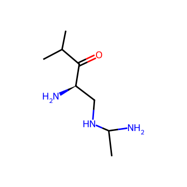 CC(N)NC[C@@H](N)C(=O)C(C)C